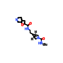 CC(C)(C)NC(=O)N1C[C@@H]2C(CCNC(=O)c3cc4ccncc4o3)[C@@H]2C1